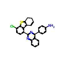 Nc1ccc(-c2nc(-c3ccc(Cl)c4sc5c(c34)C=CCC5)nc3ccccc23)cc1